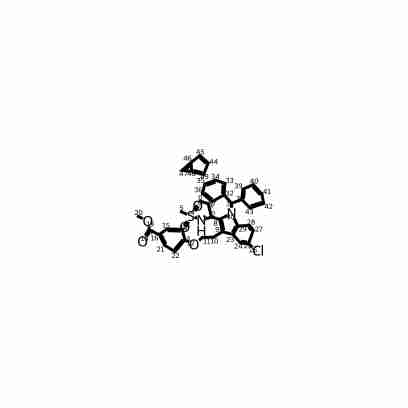 CCC(NS(C)(=O)=O)c1c(CCOc2ccc(C(=O)OC)cc2)c2cc(Cl)ccc2n1C(c1ccccc1)c1ccccc1.c1cc2cc-2c1